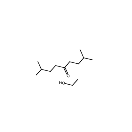 CC(C)CCC(=O)CCC(C)C.CCO